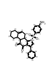 Nc1ccc(S(=O)(=O)n2cc(-c3ccccc3)c3c2C2CC=C4CCCCC4C2C(=O)C3=O)cc1